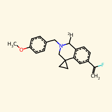 [2H]C1c2ccc(C(=C)F)cc2C2(CC2)CN1Cc1ccc(OC)cc1